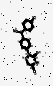 N#CC(c1ccc(Cl)cc1)c1ccc(-n2ncc(=O)[nH]c2=O)cc1